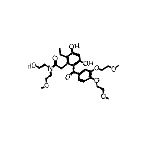 CCc1c(O)cc(O)c(C(=O)c2ccc(OCCOC)c(OCCOC)c2)c1CC(=O)N(CCO)CCOC